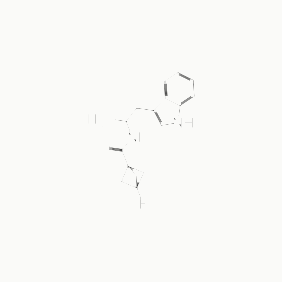 CC(Cc1c[nH]c2ccccc12)NC(=O)C12CC(F)(C1)C2